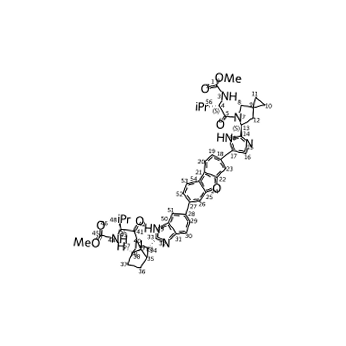 COC(=O)N[C@H](C(=O)N1CC2(CC2)C[C@H]1c1ncc(-c2ccc3c(c2)oc2cc(-c4ccc5nc([C@@H]6C7CC[C@H](C7)N6C(=O)[C@@H](NC(=O)OC)C(C)C)[nH]c5c4)ccc23)[nH]1)C(C)C